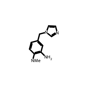 CNc1ccc(Cn2ccnc2)cc1N